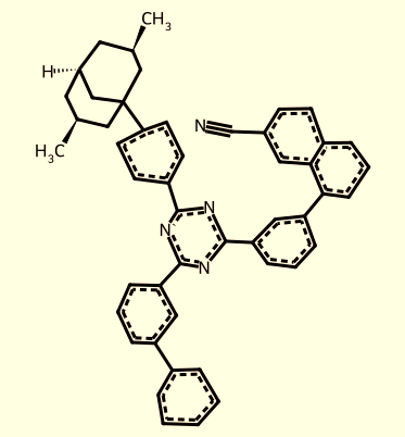 C[C@@H]1C[C@@H]2C[C@H](C)CC(c3ccc(-c4nc(-c5cccc(-c6ccccc6)c5)nc(-c5cccc(-c6cccc7ccc(C#N)cc67)c5)n4)cc3)(C1)C2